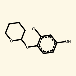 Oc1ccc(OC2CCCCO2)c(Cl)c1